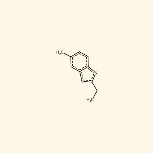 [CH2]c1ccc2sc(CC)nc2c1